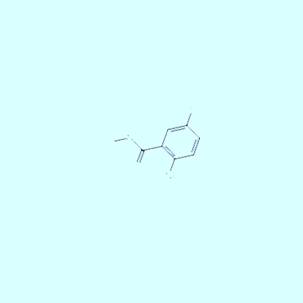 CCNC(=O)c1cc(C)ccc1N